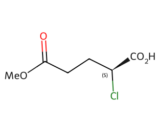 COC(=O)CC[C@H](Cl)C(=O)O